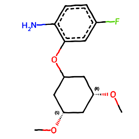 CO[C@@H]1CC(Oc2cc(F)ccc2N)C[C@H](OC)C1